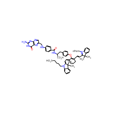 CCCCC[N+]1=C(/C=C/C2=C(Oc3ccc(CC(NC(=O)c4ccc(NCc5cnc6nc(N)[nH]c(=O)c6n5)cc4)C(=O)O)cc3)C(=C/C=C3/N(CCCCS(=O)(=O)O)c4ccccc4C3(C)C)/CCC2)C(C)(C)c2ccccc21